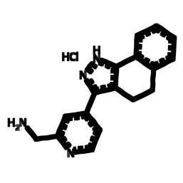 Cl.NCc1cc(-c2n[nH]c3c2CCc2ccccc2-3)ccn1